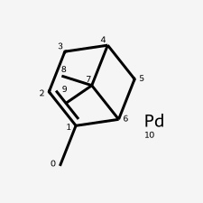 CC1=CCC2CC1C2(C)C.[Pd]